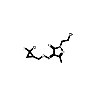 CC1=NN(CCO)C(=O)C1=NOCC1CC1(Cl)Cl